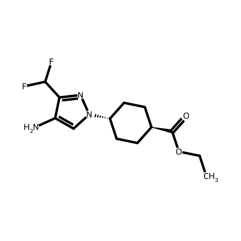 CCOC(=O)[C@H]1CC[C@H](n2cc(N)c(C(F)F)n2)CC1